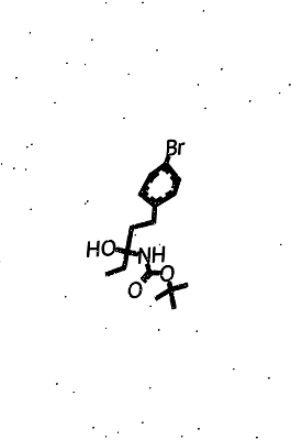 CCC(O)(CCc1ccc(Br)cc1)NC(=O)OC(C)(C)C